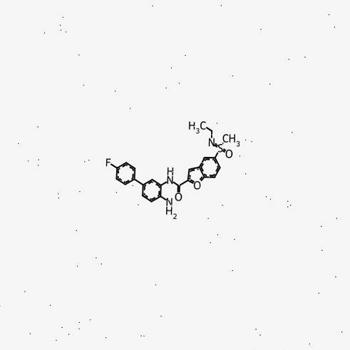 CCN=S(C)(=O)c1ccc2oc(C(=O)Nc3cc(-c4ccc(F)cc4)ccc3N)cc2c1